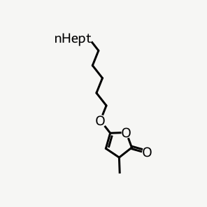 CCCCCCCCCCCCOC1=CC(C)C(=O)O1